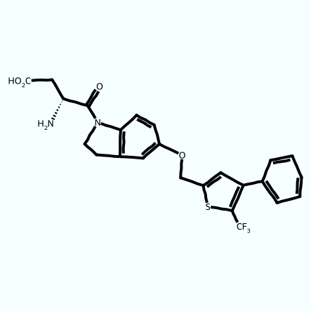 N[C@H](CC(=O)O)C(=O)N1CCc2cc(OCc3cc(-c4ccccc4)c(C(F)(F)F)s3)ccc21